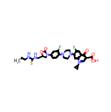 CCCNC(=S)NCC1CN(c2ccc(N3CCN(c4cc5c(cc4F)c(=O)c(C(=O)O)cn5C4CC4)CC3)c(F)c2)C(=O)O1